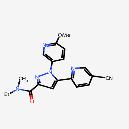 CCN(C)C(=O)c1cc(-c2ccc(C#N)cn2)n(-c2ccc(OC)nc2)n1